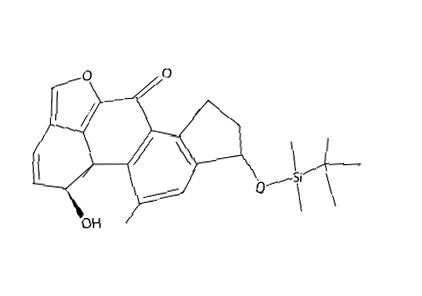 Cc1cc2c(c3c1C1(C)c4c(coc4C3=O)C=C[C@@H]1O)CCC2O[Si](C)(C)C(C)(C)C